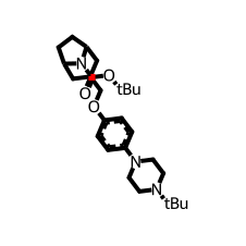 CC(C)(C)OC(=O)N1C2CCC1CC(COc1ccc(N3CCN(C(C)(C)C)CC3)cc1)C2